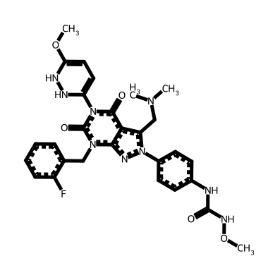 CONC(=O)Nc1ccc(-n2nc3c(c2CN(C)C)c(=O)n(C2=CC=C(OC)NN2)c(=O)n3Cc2ccccc2F)cc1